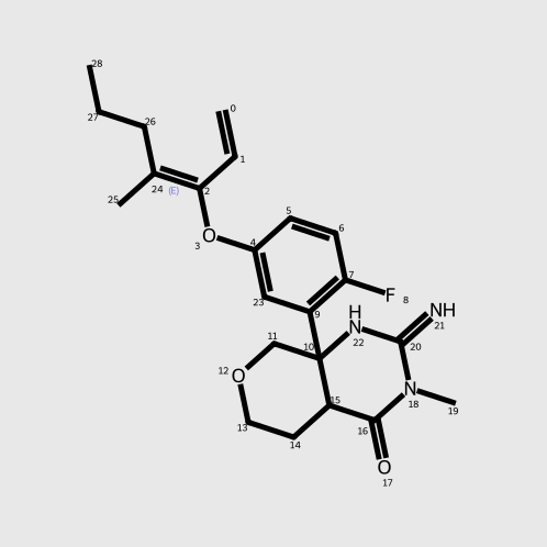 C=C/C(Oc1ccc(F)c(C23COCCC2C(=O)N(C)C(=N)N3)c1)=C(/C)CCC